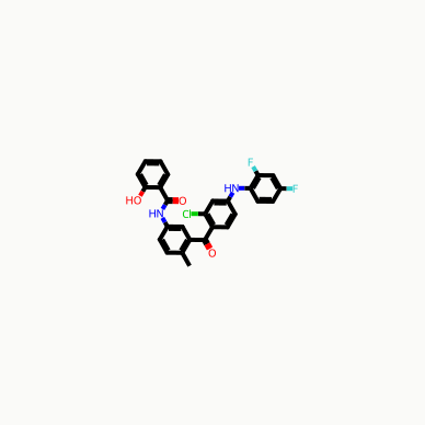 Cc1ccc(NC(=O)c2ccccc2O)cc1C(=O)c1ccc(Nc2ccc(F)cc2F)cc1Cl